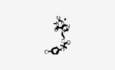 Cn1c(=O)c2c(ncn2CCOC(=O)C(C)(C)Oc2ccc(Cl)cc2)n(C)c1=O